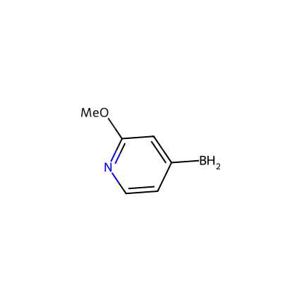 Bc1ccnc(OC)c1